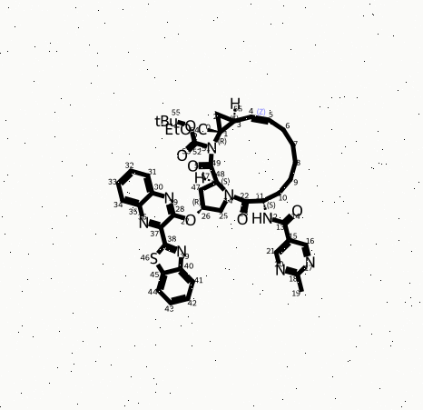 CCOC(=O)[C@@]12C[C@H]1/C=C\CCCCC[C@H](NC(=O)c1cnc(C)nc1)C(=O)N1C[C@H](Oc3nc4ccccc4nc3-c3nc4ccccc4s3)C[C@H]1C(=O)N2C(=O)OC(C)(C)C